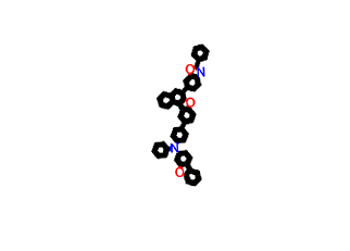 c1ccc(-c2nc3ccc(-c4cc5ccccc5c5c4oc4ccc(-c6ccc(N(c7ccccc7)c7ccc8c(c7)oc7ccccc78)cc6)cc45)cc3o2)cc1